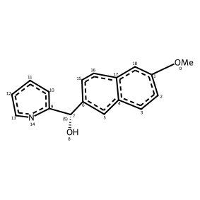 COc1ccc2cc([C@H](O)c3ccccn3)ccc2c1